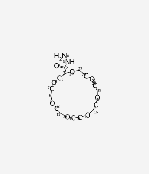 NNC(=O)C1COCCOCCOCCOCCOCCOCCO1